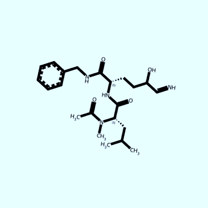 CC(=O)N(C)[C@@H](CC(C)C)C(=O)N[C@@H](CCC(O)C=N)C(=O)NCc1ccccc1